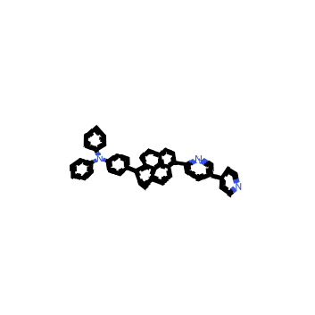 c1ccc(N(c2ccccc2)c2ccc(-c3ccc4ccc5c(-c6ccc(-c7ccncc7)cn6)ccc6ccc3c4c65)cc2)cc1